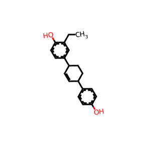 CCc1cc(C2C=CC(c3ccc(O)cc3)CC2)ccc1O